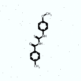 COc1ccc(NC(=S)NC(=O)c2ccc(C)cc2)cc1